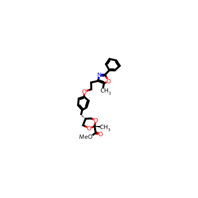 COC(=O)[C@]1(C)OC[C@H](Cc2ccc(OCCc3nc(-c4ccccc4)oc3C)cc2)CO1